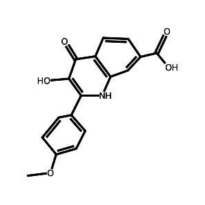 COc1ccc(-c2[nH]c3cc(C(=O)O)ccc3c(=O)c2O)cc1